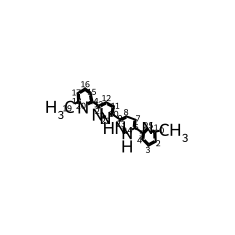 Cc1cccc(C2=CC=C(c3ccc(-c4cccc(C)n4)nn3)NN2)n1